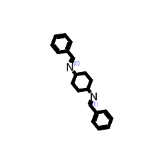 C(=N\C1CCC(/N=C/c2ccccc2)CC1)/c1ccccc1